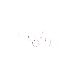 O=C(O)CC(CS(=O)(=O)CC(=O)N1CCOCC1)c1ccccc1